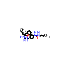 CCCCNC(=O)N[C@H]1CC[C@@H](CN2C(=N)NC(CCCC)(CC3CCCCC3)C2=O)CC1